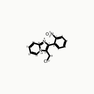 O=[N+]([O-])c1ccccc1-c1nc2ccccn2c1CCl